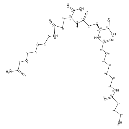 NC(=O)COCCOCCNC(=O)CC[C@@H](NC(=O)CC[C@H](NC(=O)COCCOCCNC(=O)CCCS)C(=O)O)C(=O)O